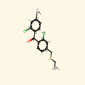 CCSCc1ccc(C(=O)c2ccc(C)cc2Cl)c(Br)c1